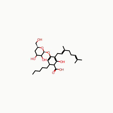 CCCCCC1C=C(O[C@@H]2O[C@H](CO)CC(O)C2O)C(C/C=C(\C)CCC=C(C)C)=C(O)C1C(=O)O